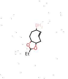 BC1/C=C/CC2OC(CC)OC2CC1